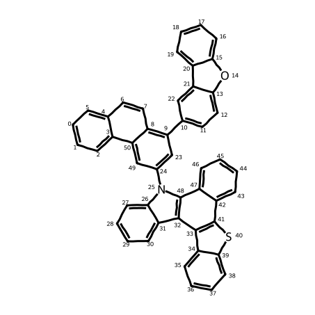 c1ccc2c(c1)ccc1c(-c3ccc4oc5ccccc5c4c3)cc(-n3c4ccccc4c4c5c6ccccc6sc5c5ccccc5c43)cc12